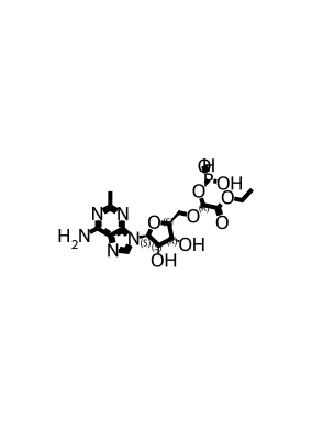 CCOC(=O)[C@H](OC[C@@H]1O[C@H](n2cnc3c(N)nc(C)nc32)[C@@H](O)[C@H]1O)O[PH](=O)O